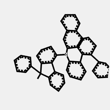 CC1(c2ccccc2)c2ccccc2-c2c(N(c3ccc4ccccc4c3)c3ccccc3-c3ccccc3-c3ccccc3)cccc21